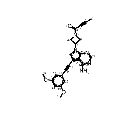 CC#CC(=O)N1CC(n2cc(C#Cc3cc(OC)cc(OC)c3)c3c(N)ncnc32)C1